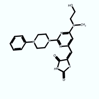 CN(CCO)c1cc(/C=C2/SC(=O)NC2=O)nc(N2CCN(c3ccccc3)CC2)n1